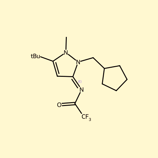 Cn1c(C(C)(C)C)c/c(=N\C(=O)C(F)(F)F)n1CC1CCCC1